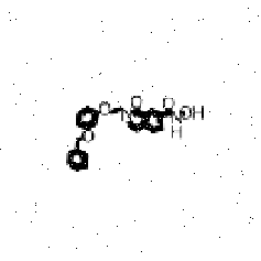 O=C(NO)c1ccc2ccn(CCOc3cccc(OCc4ccccc4)c3)c(=O)c2c1